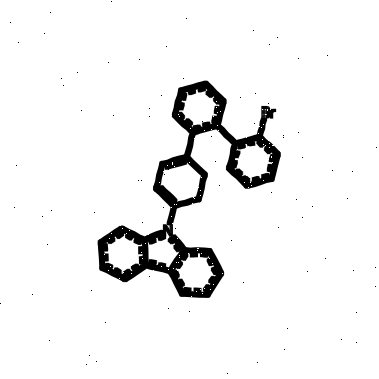 Brc1ccccc1-c1ccccc1C1=CC=C(n2c3ccccc3c3ccccc32)CC1